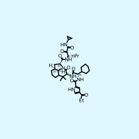 CCC[C@H](NC(=O)[C@@H]1C[C@@H]2CCCC3[C@@H]2N1C(=O)[C@@H](NC(=O)[C@@H](NC(=O)c1cc(C(=O)CC)c[nH]1)C1CCCCC1)C3(C)C)C(=O)C(=O)NC1CC1